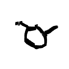 CN1CC=CC(N)=N1